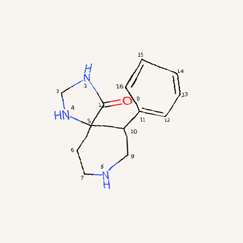 O=C1NCNC12CCNCC2c1ccccc1